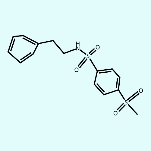 CS(=O)(=O)c1ccc(S(=O)(=O)NCCc2ccccc2)cc1